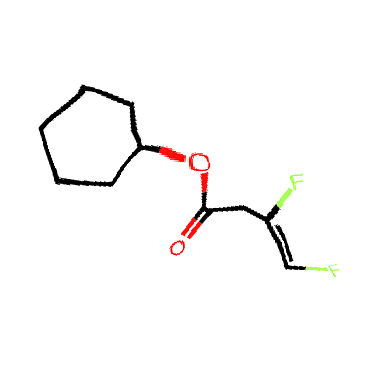 O=C(OC1CCCCC1)/C(F)=C/F